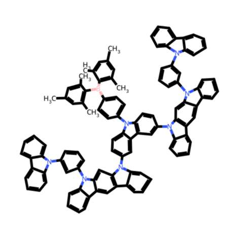 Cc1cc(C)c(B(c2ccc(-n3c4ccc(-n5c6ccccc6c6cc7c8ccccc8n(-c8cccc(-n9c%10ccccc%10c%10ccccc%109)c8)c7cc65)cc4c4cc(-n5c6ccccc6c6cc7c8ccccc8n(-c8cccc(-n9c%10ccccc%10c%10ccccc%109)c8)c7cc65)ccc43)cc2)c2c(C)cc(C)cc2C)c(C)c1